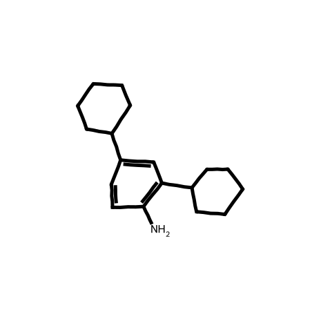 Nc1ccc(C2CCCCC2)cc1C1CCCCC1